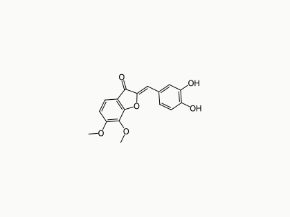 COc1ccc2c(c1OC)OC(=Cc1ccc(O)c(O)c1)C2=O